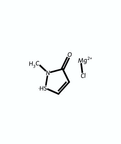 CN1[SH]C=CC1=O.[Mg+2][Cl]